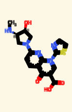 CN[C@H]1CN(c2ccc3c(=O)c(C(=O)O)cn(-c4nccs4)c3n2)C[C@@H]1O